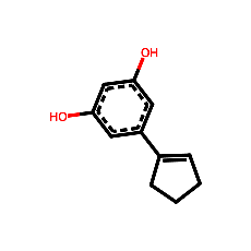 Oc1cc(O)cc(C2=CCCC2)c1